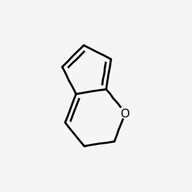 C1=CC2=CCCOC2=C1